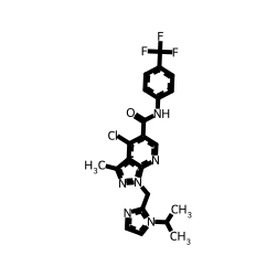 Cc1nn(Cc2nccn2C(C)C)c2ncc(C(=O)Nc3ccc(C(F)(F)F)cc3)c(Cl)c12